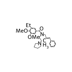 CCc1cc(C(=O)N(CCN2CCCC2)C/C(C)=C/c2ccccc2)cc(OC)c1OC